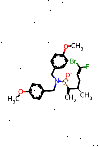 C=C([C@@H](C)C/C=C(\F)Br)[S+]([O-])N(Cc1ccc(OC)cc1)Cc1ccc(OC)cc1